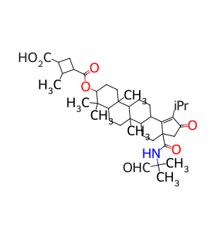 CC(C)C1=C2C3CCC4C(C)(CCC5C(C)(C)C(OC(=O)C6CC(C(=O)O)C6C)CCC54C)C3CCC2(C(=O)NC(C)(C)C=O)CC1=O